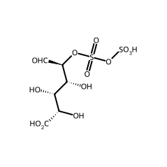 O=C[C@@H](OS(=O)(=O)OS(=O)(=O)O)[C@H](O)[C@@H](O)[C@H](O)C(=O)O